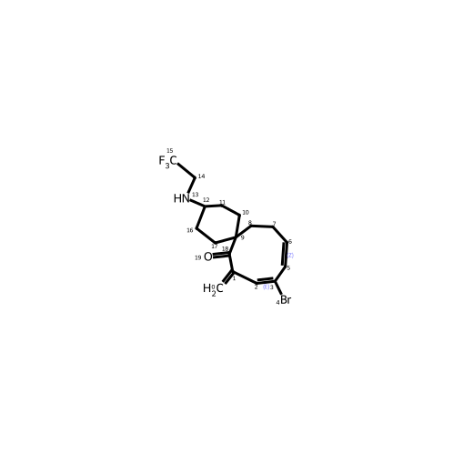 C=C1/C=C(Br)\C=C/CCC2(CCC(NCC(F)(F)F)CC2)C1=O